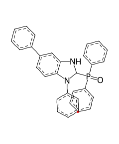 O=P(c1ccccc1)(c1ccccc1)C1Nc2cc(-c3ccccc3)ccc2N1c1ccccc1